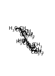 CC(C)=CCCC(C)CCOC(CCC(=O)OCCCCCCN(CCCCCCOC(=O)CCC(OCCC(C)CCC=C(C)C)OCCC(C)CCC=C(C)C)C(CO)CC(C)C)OCCC(C)CCC=C(C)C